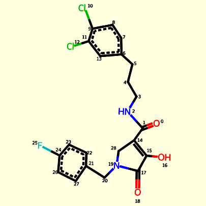 O=C(NCCCc1ccc(Cl)c(Cl)c1)C1=C(O)C(=O)N(Cc2ccc(F)cc2)C1